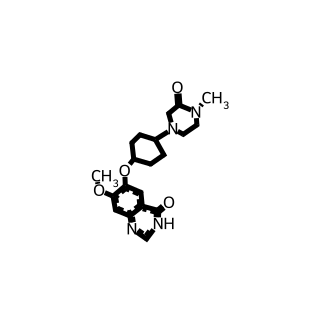 COc1cc2nc[nH]c(=O)c2cc1OC1CCC(N2CCN(C)C(=O)C2)CC1